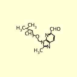 Cc1nc2ccc(C=O)nc2n1COCCS(C)(C)C